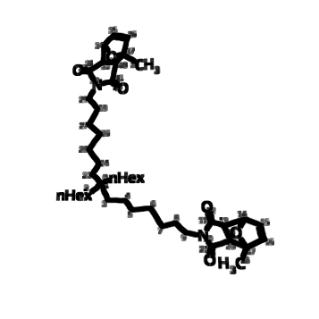 CCCCCCC(CCCCCC)(CCCCCCCN1C(=O)C2C3C=CC(C)(O3)C2C1=O)CCCCCCCN1C(=O)C2C3C=CC(C)(O3)C2C1=O